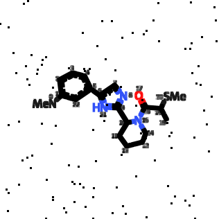 CNc1cccc(-c2cnc(C3CCCCN3C(=O)C(C)SC)[nH]2)c1